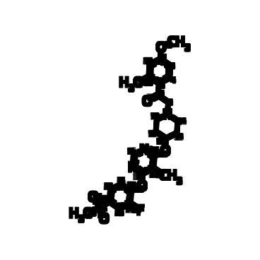 COc1ccc(C(=O)CN2CCC(Oc3ncnc(Oc4ccc(S(C)(=O)=O)cc4F)c3C)CC2)c(C)c1